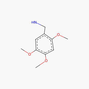 COc1cc(OC)c(OC)cc1C[NH]